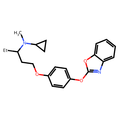 CCC(CCOc1ccc(Oc2nc3ccccc3o2)cc1)N(C)C1CC1